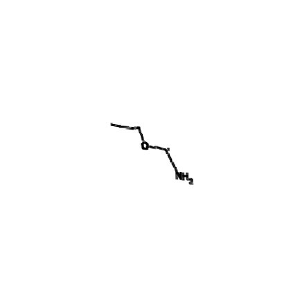 CCO[CH]N